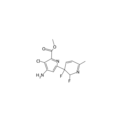 COC(=O)c1nc(C2(F)C=CC(C)=NC2F)cc(N)c1Cl